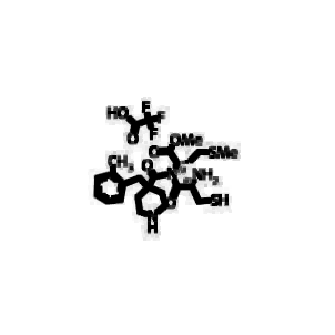 COC(=O)[C@H](CCSC)N(C(=O)[C@@H](N)CS)C(=O)C1(Cc2ccccc2C)CCNCC1.O=C(O)C(F)(F)F